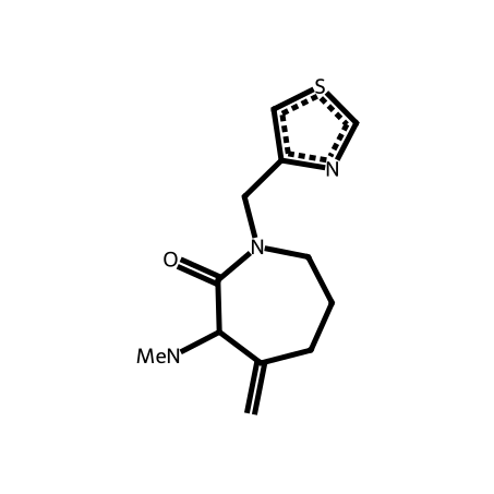 C=C1CCCN(Cc2cscn2)C(=O)C1NC